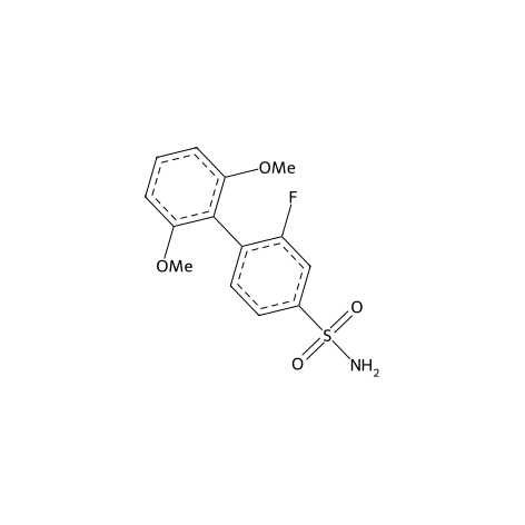 COc1cccc(OC)c1-c1ccc(S(N)(=O)=O)cc1F